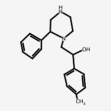 Cc1ccc(C(O)CN2CCNCC2c2ccccc2)cc1